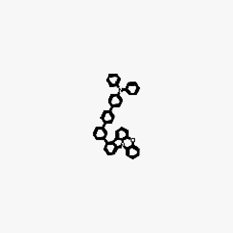 c1ccc(N(c2ccccc2)c2ccc(-c3ccc(-c4cccc(-c5cccc6c5c5cccc7c5n6-c5ccccc5O7)c4)cc3)cc2)cc1